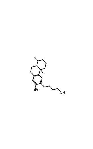 CC(C)c1cc2c(cc1CCCCO)C1(C)CCCC(C)C1CC2